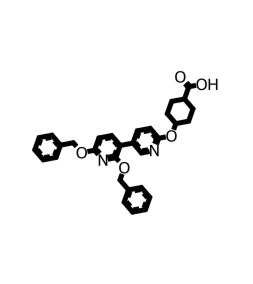 O=C(O)C1CCC(Oc2ccc(-c3ccc(OCc4ccccc4)nc3OCc3ccccc3)cn2)CC1